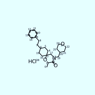 CC1OC2(CCC(CCc3ccccc3)CC2)CN(CC2CCOCC2)C1=O.Cl